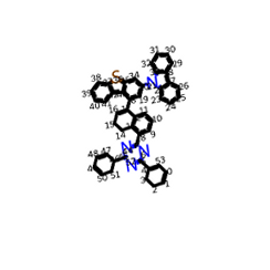 C1=CCCC(c2nc(-c3cccc4c3CCC=C4c3cc(-n4c5ccccc5c5ccccc54)cc4sc5ccccc5c34)nc(C3C=CC=CC3)n2)=C1